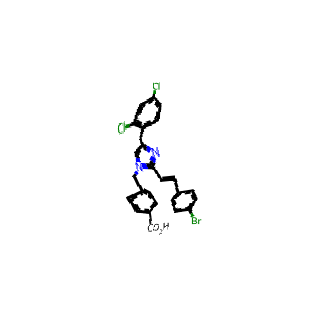 O=C(O)c1ccc(Cn2cc(-c3ccc(Cl)cc3Cl)nc2C=Cc2ccc(Br)cc2)cc1